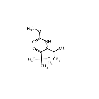 COC(=O)NN(C(=O)C(C)(C)C)C(C)C